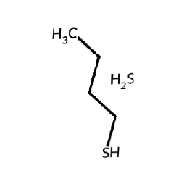 CCCCS.S